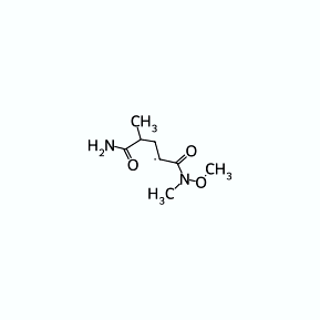 CON(C)C(=O)[CH]CC(C)C(N)=O